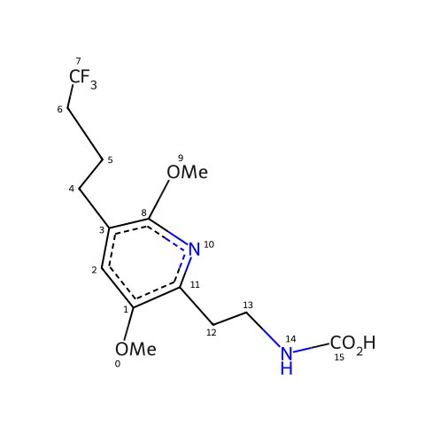 COc1cc(CCCC(F)(F)F)c(OC)nc1CCNC(=O)O